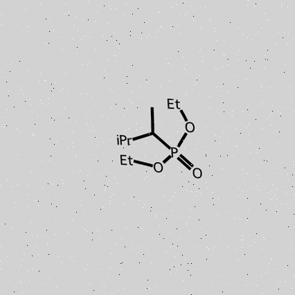 CCOP(=O)(OCC)C(C)C(C)C